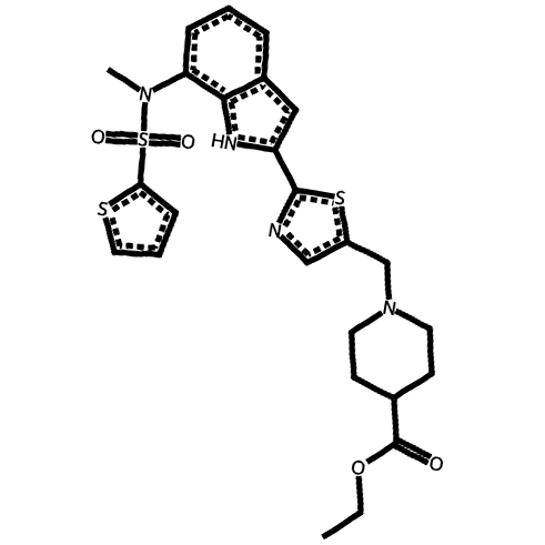 CCOC(=O)C1CCN(Cc2cnc(-c3cc4cccc(N(C)S(=O)(=O)c5cccs5)c4[nH]3)s2)CC1